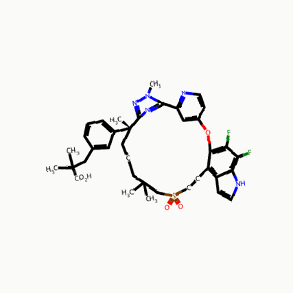 Cn1nc2nc1-c1cc(ccn1)Oc1c(F)c(F)c3[nH]ccc3c1CCS(=O)(=O)CC(C)(C)CCC[C@]2(C)c1cccc(CC(C)(C)C(=O)O)c1